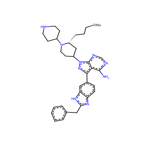 COCCC[C@@H]1CC(n2nc(-c3ccc4nc(Cc5ccccc5)[nH]c4c3)c3c(N)ncnc32)CCN1C1CCNCC1